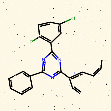 C=C/C(=C\C=C/C)c1nc(-c2ccccc2)nc(-c2cc(Cl)ccc2F)n1